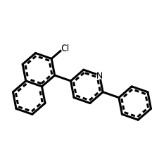 Clc1ccc2ccccc2c1-c1ccc(-c2ccccc2)nc1